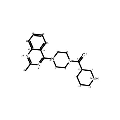 Cc1nc(N2CCN(C(=O)C3CCCNC3)CC2)c2ccccc2n1